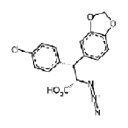 [N-]=[N+]=N[C@H](C(=O)O)[C@H](c1ccc(Cl)cc1)c1ccc2c(c1)OCO2